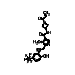 C=CC(=O)N1CC(NC(=O)c2cnc(CNc3cc(S(F)(F)(F)(F)F)ccc3O)n2C)C1